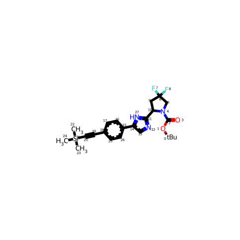 CC(C)(C)OC(=O)N1CC(F)(F)CC1c1ncc(-c2ccc(C#C[Si](C)(C)C)cc2)[nH]1